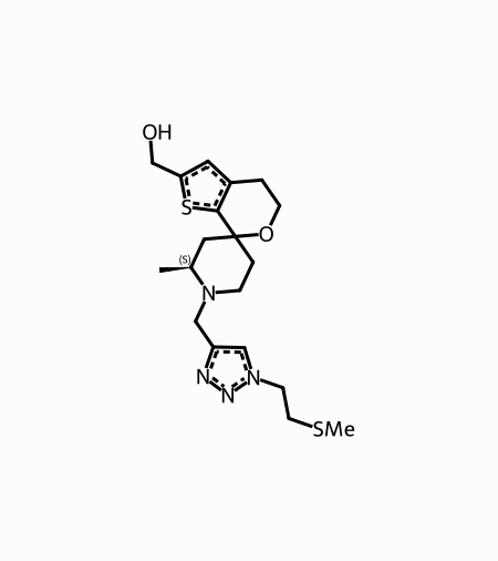 CSCCn1cc(CN2CCC3(C[C@@H]2C)OCCc2cc(CO)sc23)nn1